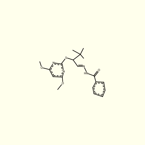 COc1cc(OC)nc(SC(/C=N/NC(=O)c2ccccc2)C(C)(C)C)n1